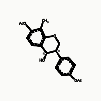 CC(=O)Oc1ccc([C@@H]2COc3c(ccc(OC(C)=O)c3C)[C@@H]2O)cc1